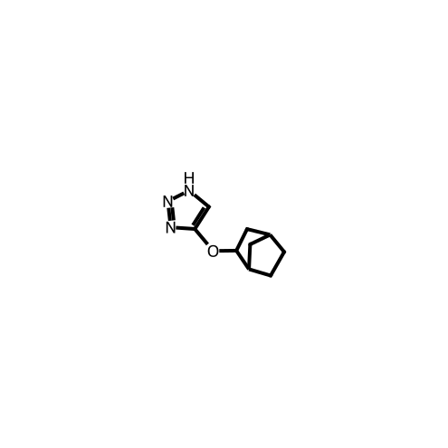 c1[nH]nnc1OC1CC2CCC1C2